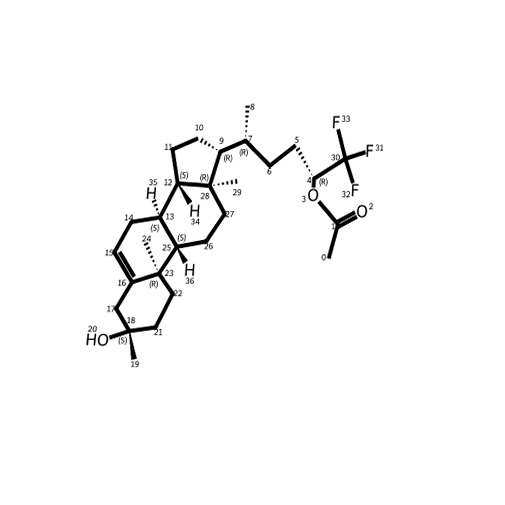 CC(=O)O[C@H](CC[C@@H](C)[C@H]1CC[C@H]2[C@@H]3CC=C4C[C@@](C)(O)CC[C@]4(C)[C@H]3CC[C@]12C)C(F)(F)F